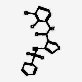 O=C(Nc1cccc(Cl)c1Cl)c1cscc1NS(=O)(=O)c1ccccc1